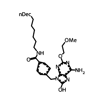 CCCCCCCCCCCCCCCCNC(=O)c1ccc(Cn2c(O)nc3c(N)nc(OCCOC)nc32)cc1